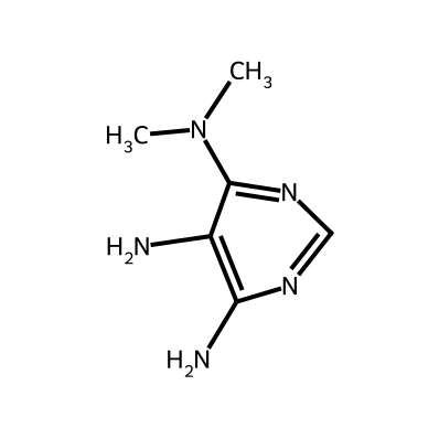 CN(C)c1ncnc(N)c1N